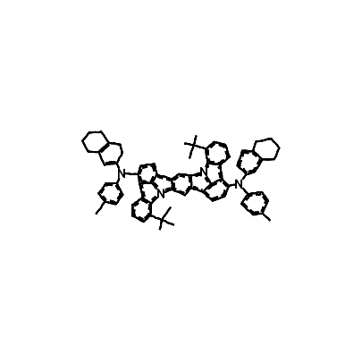 Cc1ccc(N(C2=CC3=C(CCCC3)CC2)c2ccc3c4cc5c(cc4n4c6c(C(C)(C)C)cccc6c2c34)c2ccc(N(c3ccc(C)cc3)c3ccc4c(c3)CCCC4)c3c4cccc(C(C)(C)C)c4n5c23)cc1